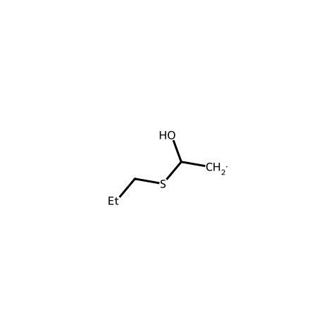 [CH2]C(O)SCCC